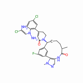 CC1CCC[C@H](N2CCC(c3cc(Cl)ccc3N(N)/C=C(\N)Cl)=CC2=O)c2cc(F)cc(c2)-c2c(cnn2C)NC1=O